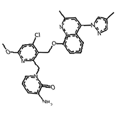 COc1cc(Cl)c(COc2cccc3c(-n4cc(C)cn4)cc(C)nc23)c(Cn2cccc(N)c2=O)n1